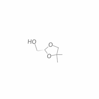 CC1(C)CO[C@@H](CO)O1